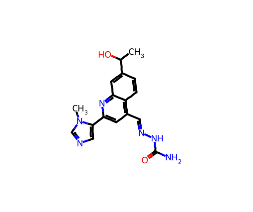 CC(O)c1ccc2c(/C=N/NC(N)=O)cc(-c3cncn3C)nc2c1